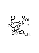 Cc1ccc(S(=O)(=O)N2C(=O)CC(C(=O)OCc3ccccc3)C2C(=O)OCC(=O)CC(N)C(=O)O)cc1